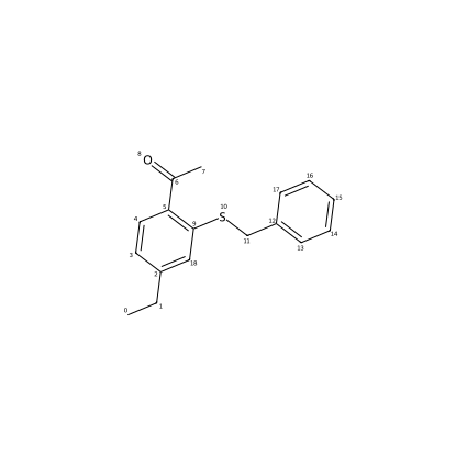 CCc1ccc(C(C)=O)c(SCc2ccccc2)c1